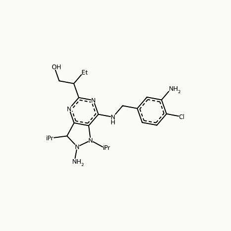 CCC(CO)c1nc(NCc2ccc(Cl)c(N)c2)c2c(n1)C(C(C)C)N(N)N2C(C)C